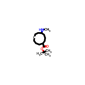 CNC1CCCCCCC(C(=O)OC(C)(C)C)CCC1